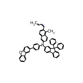 C=C/C=C\c1ccc2cc(N(c3ccc(-c4ccc5oc6ccccc6c5c4)cc3)c3ccc4c(c3)C(c3ccccc3)(c3ccccc3)c3ccccc3-4)ccc2c1C